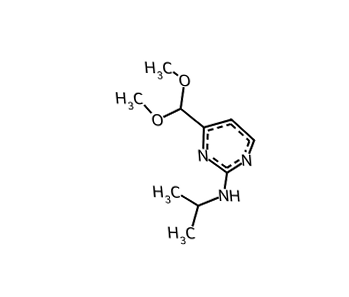 COC(OC)c1ccnc(NC(C)C)n1